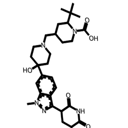 Cn1nc(C2CCC(=O)NC2=O)c2ccc(C3(O)CCN(CC4CCN(C(=O)O)C(C(C)(C)C)C4)CC3)cc21